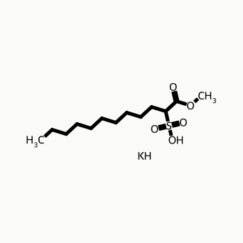 CCCCCCCCCCC(C(=O)OC)S(=O)(=O)O.[KH]